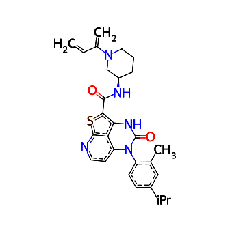 C=CC(=C)N1CCC[C@@H](NC(=O)c2sc3nccc4c3c2NC(=O)N4c2ccc(C(C)C)cc2C)C1